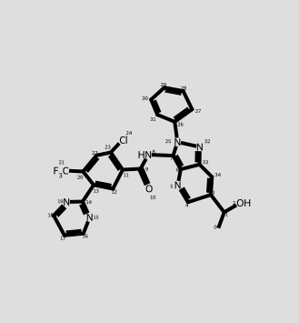 CC(O)c1cnc2c(NC(=O)c3cc(-c4ncccn4)c(C(F)(F)F)cc3Cl)n(-c3ccccc3)nc2c1